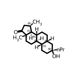 CCC[C@@]1(O)CC[C@H]2[C@H](CC[C@@H]3[C@@H]2CC[C@]2(C)C(=O)C[C@@H](C)[C@@H]32)C1